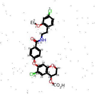 CCOc1cc(Cl)ccc1CCNC(=O)c1ccc(Oc2cc3c(cc2Cl)C(OC(=O)O)CCO3)cc1